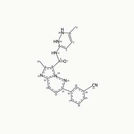 CC1=CC=C(NC(=O)c2c(C)nc3ccc(-c4cccc(C#N)c4)nn23)NN1